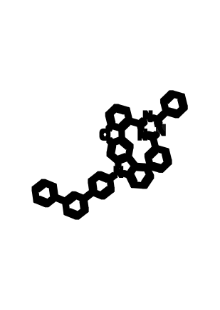 c1ccc(-c2cccc(-c3ccc(-n4c5ccccc5c5cc6c(cc54)oc4cccc(-c5nc(-c7ccccc7)nc(-c7ccccc7)n5)c46)cc3)c2)cc1